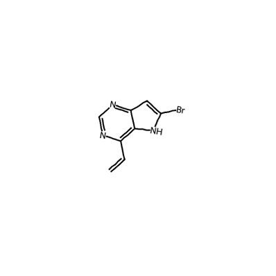 C=Cc1ncnc2cc(Br)[nH]c12